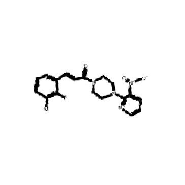 O=C(/C=C/c1cccc(Cl)c1F)N1CCN(c2ncccc2[N+](=O)[O-])CC1